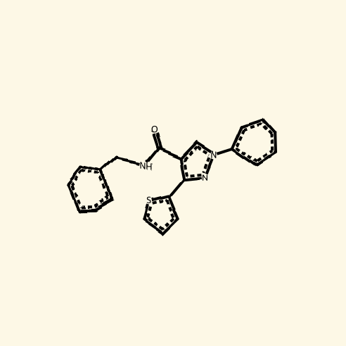 O=C(NCc1ccccc1)c1cn(-c2ccccc2)nc1-c1cccs1